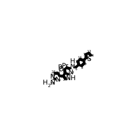 CCCOc1cc(NCc2ccc(-c3cccs3)cc2)nc2[nH]cc(-c3ccnc(N)n3)c12